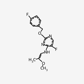 CO/C(C)=C\Nc1nc(OCc2ccc(F)cc2)ncc1F